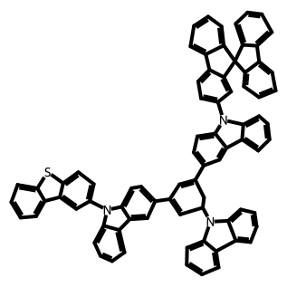 C1=C(c2ccc3c(c2)c2ccccc2n3-c2ccc3sc4ccccc4c3c2)C=C(c2ccc3c(c2)c2ccccc2n3-c2ccc3c(c2)C2(c4ccccc4-c4ccccc42)c2ccccc2-3)CC1n1c2ccccc2c2ccccc21